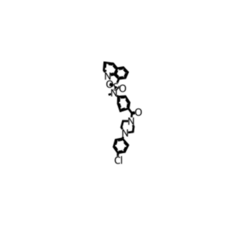 CN(c1ccc(C(=O)N2CCN(c3ccc(Cl)cc3)CC2)cc1)S(=O)(=O)c1cccc2cccnc12